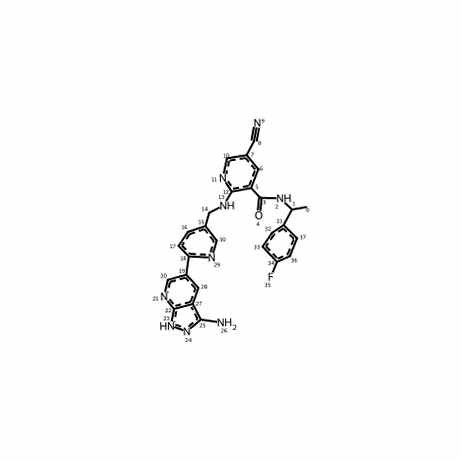 CC(NC(=O)c1cc(C#N)cnc1NCc1ccc(-c2cnc3[nH]nc(N)c3c2)nc1)c1ccc(F)cc1